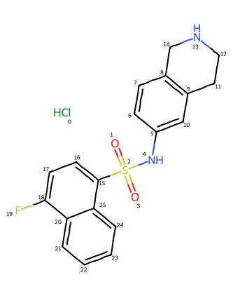 Cl.O=S(=O)(Nc1ccc2c(c1)CCNC2)c1ccc(F)c2ccccc12